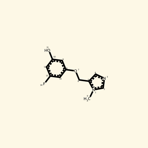 Cn1cncc1COc1cc(O)cc(F)c1